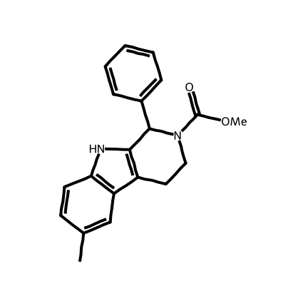 COC(=O)N1CCc2c([nH]c3ccc(C)cc23)C1c1ccccc1